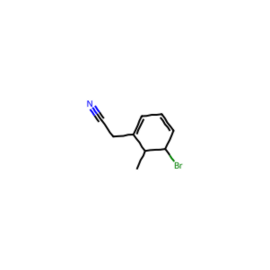 CC1C(CC#N)=CC=CC1Br